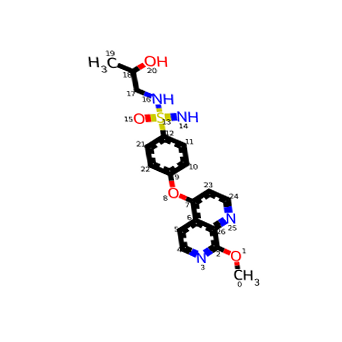 COc1nccc2c(Oc3ccc(S(=N)(=O)NCC(C)O)cc3)ccnc12